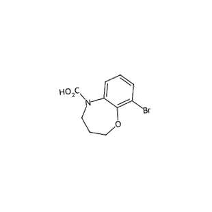 O=C(O)N1CCCOc2c(Br)cccc21